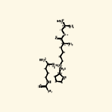 N=C(N)NCCC[C@H](N)C(=O)O.NCCCC[C@H](N)C(=O)OC[C@H](N)C(=O)O.O=C(O)[C@@H]1CCCN1